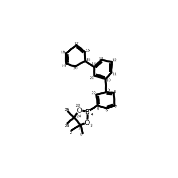 CC1(C)OB(c2cccc(-c3cccc(C4C=CC=CC4)c3)c2)OC1(C)C